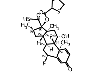 C[C@@H]1C[C@H]2[C@@H]3C[C@H](F)C4=CC(=O)C=C[C@]4(C)[C@@]3(F)[C@@H](O)C[C@]2(C)[C@@]1(OC(=O)C1CCCS1)C(=O)S